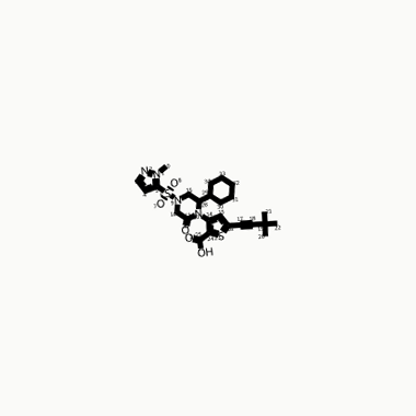 Cn1nccc1S(=O)(=O)N1CC(=O)N(c2cc(C#CC(C)(C)C)sc2C(=O)O)C(C2CCCCC2)C1